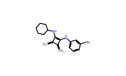 C=C1C(=C)C(NC2CCCCC2)=C1Nc1cccc(C(C)(C)C)c1